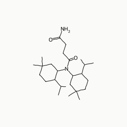 CC(C)C1CCC(C)(C)CC1N(C(=O)CCC(N)=O)C1CC(C)(C)CCC1C(C)C